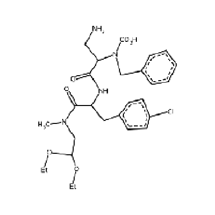 CCOC(CN(C)C(=O)C(Cc1ccc(Cl)cc1)NC(=O)C(CN)N(Cc1ccccc1)C(=O)O)OCC